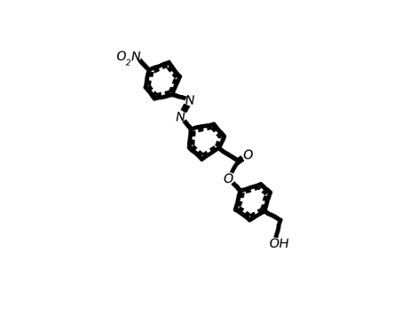 O=C(Oc1ccc(CO)cc1)c1ccc(/N=N/c2ccc([N+](=O)[O-])cc2)cc1